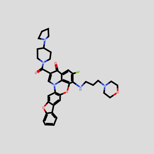 O=C(c1cn2c3c(c(NCCCN4CCOCC4)c(F)cc3c1=O)Oc1cc3c(cc1-2)oc1ccccc13)N1CCC(N2CCCC2)CC1